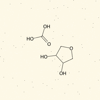 O=C(O)O.OC1COCC1O